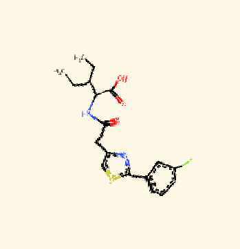 CCC(CC)C(NC(=O)Cc1csc(-c2cccc(F)c2)n1)C(=O)O